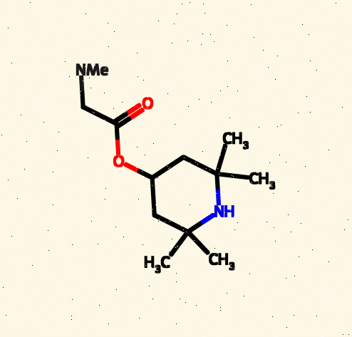 CNCC(=O)OC1CC(C)(C)NC(C)(C)C1